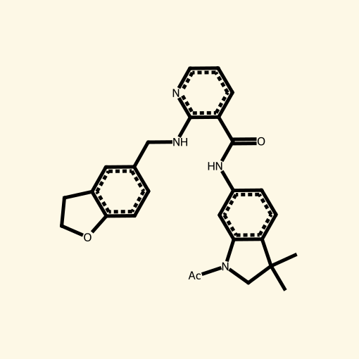 CC(=O)N1CC(C)(C)c2ccc(NC(=O)c3cccnc3NCc3ccc4c(c3)CCO4)cc21